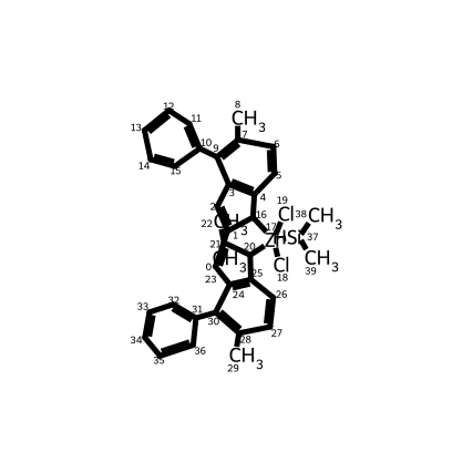 CC1=Cc2c(ccc(C)c2-c2ccccc2)[CH]1[Zr]([Cl])([Cl])([CH]1C(C)=Cc2c1ccc(C)c2-c1ccccc1)[SiH](C)C